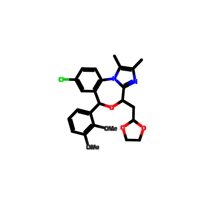 COc1cccc(C2OC(CC3OCCO3)c3nc(C)c(C)n3-c3ccc(Cl)cc32)c1OC